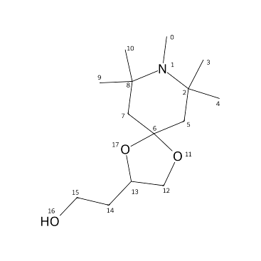 CN1C(C)(C)CC2(CC1(C)C)OCC(CCO)O2